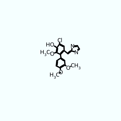 COc1ccc(-c2c(C=C3N=CC=N3)cc(Cl)c(O)c2OC)cc1OC